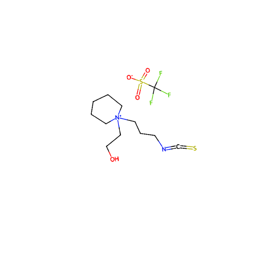 O=S(=O)([O-])C(F)(F)F.OCC[N+]1(CCCN=C=S)CCCCC1